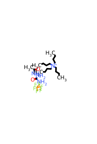 CC(N)=O.CCCC[N+](CCCC)(CCCC)CCCC.F[P-](F)(F)(F)(F)F.NC(N)=O